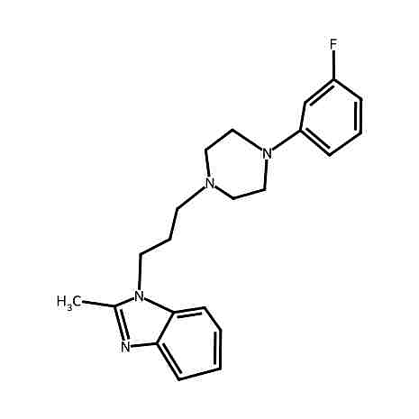 Cc1nc2ccccc2n1CCCN1CCN(c2cccc(F)c2)CC1